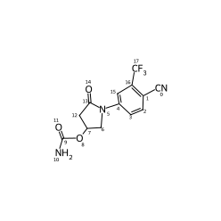 N#Cc1ccc(N2CC(OC(N)=O)CC2=O)cc1C(F)(F)F